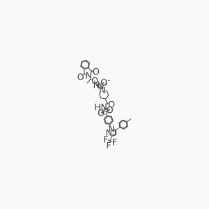 Cc1ccc(-c2cc(C(F)(F)F)nn2-c2ccc(S(=O)(=O)NC(=O)C3CCN(/[N+]([O-])=N/OC(C)N4C(=O)c5ccccc5C4=O)CC3)cc2)cc1